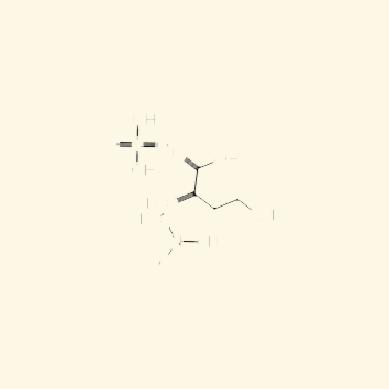 C=C(CCC)C(=O)O.CN(C)C.O=S(=O)(O)O